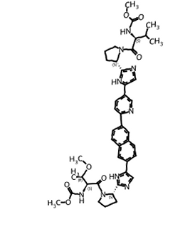 COC(=O)N[C@H](C(=O)N1CCC[C@H]1c1ncc(-c2ccc(-c3ccc4cc(-c5cnc([C@@H]6CCCN6C(=O)[C@@H](NC(=O)OC)[C@@H](C)OC)[nH]5)ccc4c3)nc2)[nH]1)C(C)C